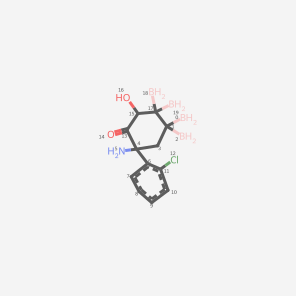 BC1(B)CC(N)(c2ccccc2Cl)C(=O)C(O)C1(B)B